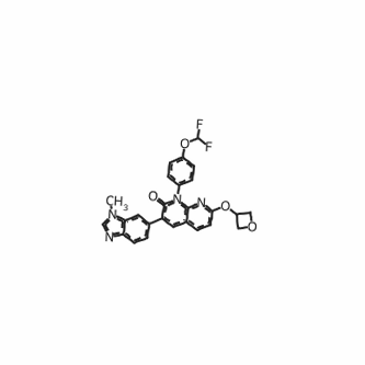 Cn1cnc2ccc(-c3cc4ccc(OC5COC5)nc4n(-c4ccc(OC(F)F)cc4)c3=O)cc21